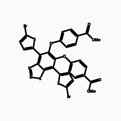 COC(=O)c1ccc(Oc2c(Oc3ccc(C(=O)OC)cc3)c(-c3ccc(Br)s3)c3snnc3c2-c2ccc(Br)s2)cc1